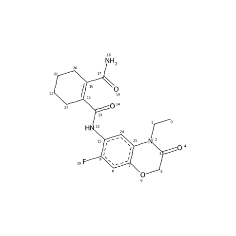 CCN1C(=O)COc2cc(F)c(NC(=O)C3=C(C(N)=O)CCCC3)cc21